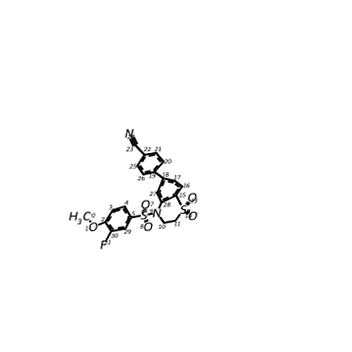 COc1ccc(S(=O)(=O)N2CCS(=O)(=O)c3ccc(-c4ccc(C#N)cc4)cc32)cc1F